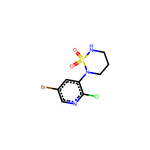 O=S1(=O)NCCCN1c1cc(Br)cnc1Cl